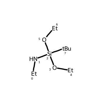 CCN[Si](OCC)(OCC)C(C)(C)C